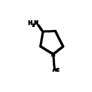 CC(=O)N1CCC(N)C1